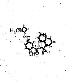 Cc1ccc(OC[C@H]2CCN2C)cc1C(=O)NC1(c2cccc3ncccc23)CC1